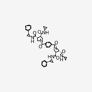 O=C(NC1CC1)[C@H]1CN(C(=O)c2ccc(C(=O)N3C[C@H](C(=O)NC4CC4)[C@@H](C(=O)N[C@@H]4C[C@H]4c4ccccc4)C3)cc2)C[C@@H]1C(=O)N[C@@H]1C[C@H]1c1ccccc1